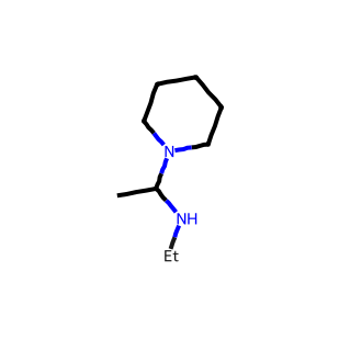 CCNC(C)N1CCCCC1